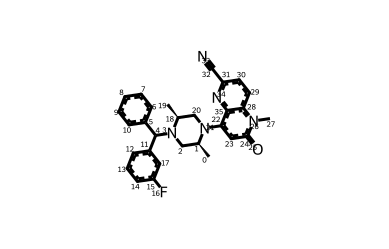 C[C@H]1CN(C(c2ccccc2)c2cccc(F)c2)[C@@H](C)CN1c1cc(=O)n(C)c2ccc(C#N)nc12